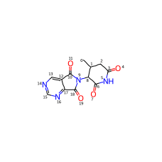 CC1CC(=O)NC(=O)C1N1C(=O)c2cncnc2C1=O